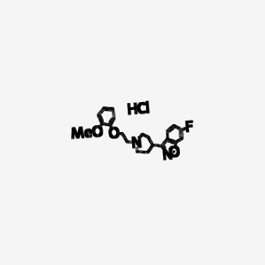 COc1ccccc1OCCN1CCC(c2noc3cc(F)ccc23)CC1.Cl